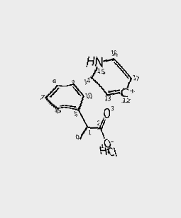 CC(C(=O)[O-])c1ccccc1.Cl.[C+]1=CCNC=C1